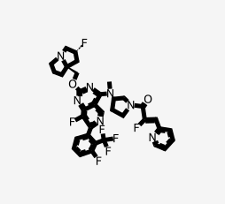 CN(c1nc(OC[C@@]23CCCN2C[C@H](F)C3)nc2c(F)c(-c3cccc(F)c3C(F)(F)F)ncc12)[C@@H]1CCN(C(=O)/C(F)=C/c2ccccn2)C1